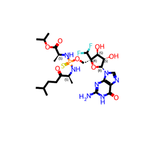 CC(C)CCC(=O)[C@H](C)NP(=S)(N[C@@H](C)C(=O)OC(C)C)OC[C@@]1(C(F)F)O[C@@H](n2cnc3c(=O)[nH]c(N)nc32)[C@@H](O)[C@@H]1O